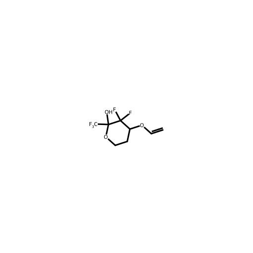 C=COC1CCOC(O)(C(F)(F)F)C1(F)F